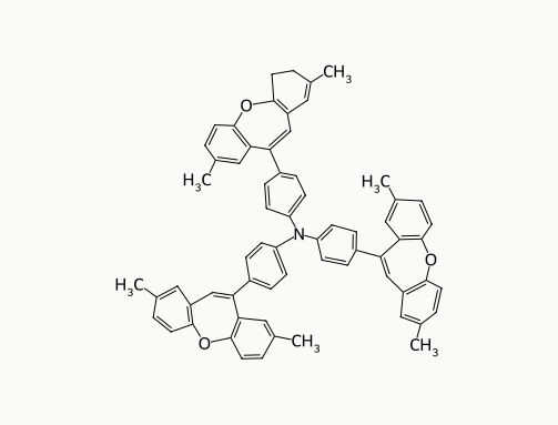 CC1=CC2=C(CC1)Oc1ccc(C)cc1C(c1ccc(N(c3ccc(C4=Cc5cc(C)ccc5Oc5ccc(C)cc54)cc3)c3ccc(C4=Cc5cc(C)ccc5Oc5ccc(C)cc54)cc3)cc1)=C2